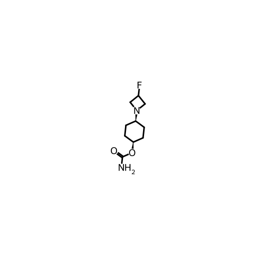 NC(=O)O[C@H]1CC[C@@H](N2CC(F)C2)CC1